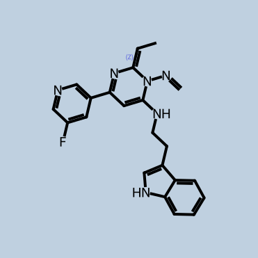 C=NN1C(NCCc2c[nH]c3ccccc23)=CC(c2cncc(F)c2)=N/C1=C/C